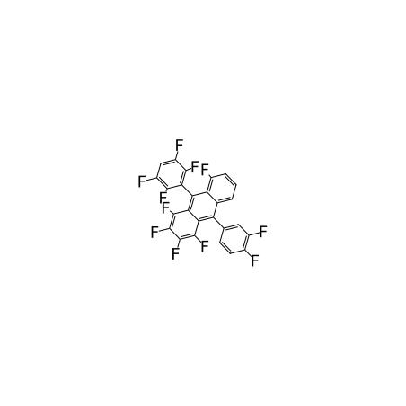 Fc1ccc(-c2c3cccc(F)c3c(-c3c(F)c(F)cc(F)c3F)c3c(F)c(F)c(F)c(F)c23)cc1F